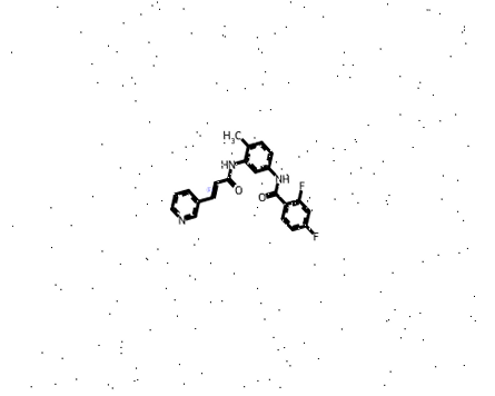 Cc1ccc(NC(=O)c2ccc(F)cc2F)cc1NC(=O)/C=C/c1cccnc1